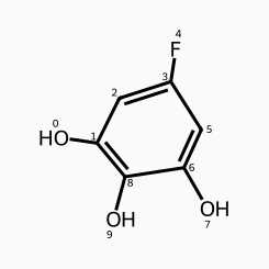 Oc1cc(F)cc(O)c1O